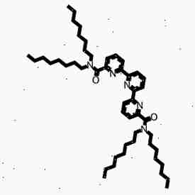 CCCCCCCCN(CCCCCCCC)C(=O)c1cccc(-c2cccc(-c3cccc(C(=O)N(CCCCCCCC)CCCCCCCC)n3)n2)n1